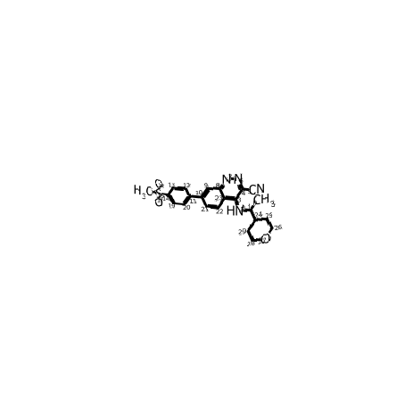 CC(Nc1c(C#N)nnc2cc(-c3ccc(S(C)(=O)=O)cc3)ccc12)C1CCOCC1